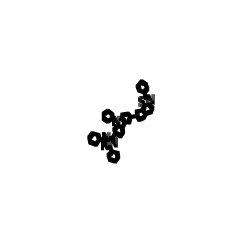 c1ccc(-c2nc(-c3ccccc3)nc(-c3ccc4c5cc(-c6ccc7ccc8nc(-c9ccccc9)sc8c7c6)ccc5n(-c5ccccc5)c4c3)n2)cc1